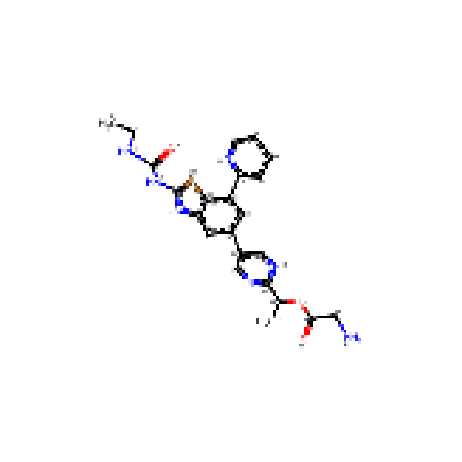 CCNC(=O)Nc1nc2cc(-c3cnc(C(C)OC(=O)CN)nc3)cc(-c3ccccn3)c2s1